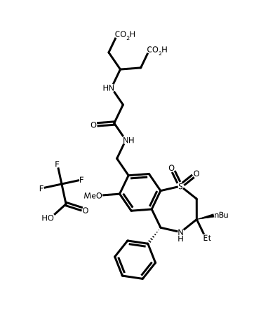 CCCC[C@]1(CC)CS(=O)(=O)c2cc(CNC(=O)CNC(CC(=O)O)CC(=O)O)c(OC)cc2[C@@H](c2ccccc2)N1.O=C(O)C(F)(F)F